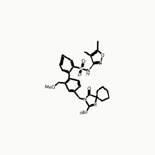 CCCCC1=NC2(CCCCC2)C(=O)N1Cc1ccc(-c2ccccc2S(=O)(=O)Nc2noc(C)c2C)c(COC)c1